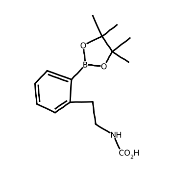 CC1(C)OB(c2ccccc2CCNC(=O)O)OC1(C)C